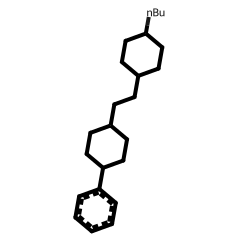 CCCCC1CCC(CCC2CCC(c3ccccc3)CC2)CC1